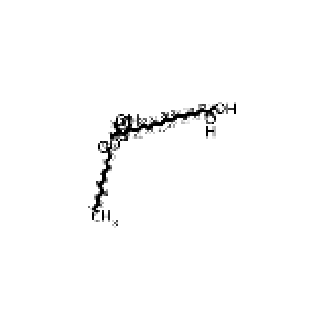 CCCCCCCCCCCC(=O)OCC(CO)OC(=O)CCCCCCCCCCCCC(O)CO